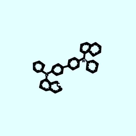 c1ccc([C@H](c2ccc(-c3ccc(N(c4ccccc4)c4cccc5ccccc45)cc3)cc2)c2cccc3ccccc23)cc1